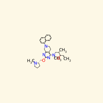 C=CC(=O)[C@H](C)CN(C)c1nc(OC[C@@H]2CCCN2C)nc2c1CCN(c1cccc3ccccc13)C2